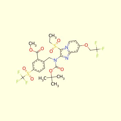 CCS(=O)(=O)c1c(N(Cc2ccc(S(=O)(=O)C(F)(F)F)cc2C(=O)OC)C(=O)OC(C)(C)C)nc2cc(OCC(F)(F)F)ccn12